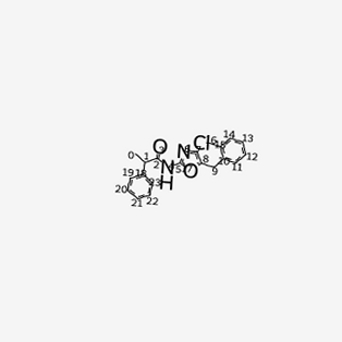 CC(C(=O)Nc1ncc(Cc2ccccc2Cl)o1)c1ccccc1